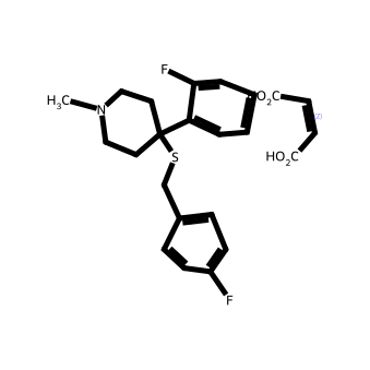 CN1CCC(SCc2ccc(F)cc2)(c2ccccc2F)CC1.O=C(O)/C=C\C(=O)O